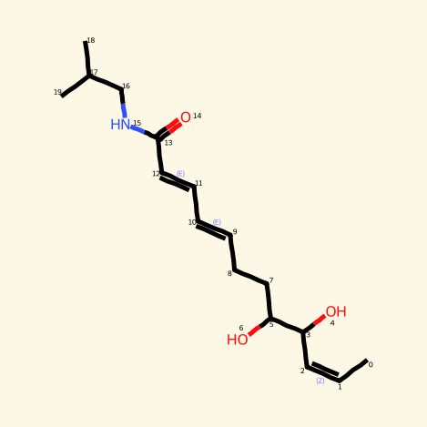 C/C=C\C(O)C(O)CC/C=C/C=C/C(=O)NCC(C)C